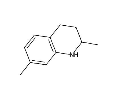 Cc1ccc2c(c1)NC(C)CC2